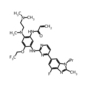 C=CC(=O)Nc1cc(Nc2nccc(-c3cc(F)c4nc(C)n(C(C)C)c4c3)n2)c(OCC(F)(F)F)cc1N(C)CCN(C)C